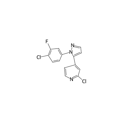 Fc1cc(-n2nccc2-c2ccnc(Cl)c2)ccc1Cl